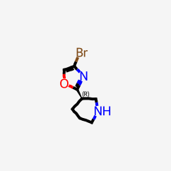 Brc1coc([C@@H]2CCCNC2)n1